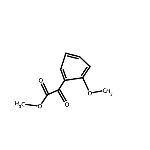 COC(=O)C(=O)c1ccccc1OC